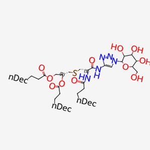 CCCCCCCCCCCCC(=O)N[C@H](CSC[C@@H](COC(=O)CCCCCCCCCCCC)OC(=O)CCCCCCCCCCCC)C(=O)Nc1cn(C2OC(CO)C(O)C(O)C2O)nn1